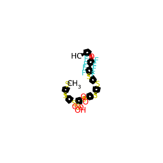 C#Cc1cccc(Oc2c(F)c(F)c(-c3c(F)c(F)c(Sc4ccc(Sc5ccc(Sc6ccc(S(=O)(=O)c7ccc(Sc8ccc(Sc9ccc(SC)cc9)cc8)c(S(=O)(=O)O)c7)cc6)cc5)cc4)c(F)c3F)c(F)c2F)c1